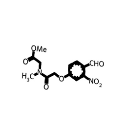 COC(=O)CN(C)C(=O)COc1ccc(C=O)c([N+](=O)[O-])c1